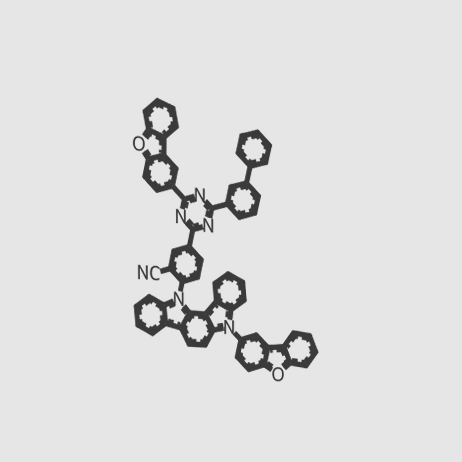 N#Cc1cc(-c2nc(-c3cccc(-c4ccccc4)c3)nc(-c3ccc4oc5ccccc5c4c3)n2)ccc1-n1c2ccccc2c2ccc3c(c4ccccc4n3-c3ccc4oc5ccccc5c4c3)c21